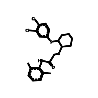 Cc1cccc(C)c1NC(=O)CSC1CCCCC1Sc1ccc(Cl)c(Cl)c1